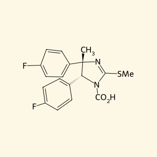 CSC1=N[C@@](C)(c2ccc(F)cc2)[C@@H](c2ccc(F)cc2)N1C(=O)O